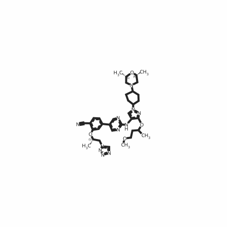 COCCC(C)Oc1nn(C2CCC(N3C[C@@H](C)O[C@@H](C)C3)CC2)cc1Nc1ncc(-c2ccc(C#N)c(O[C@@H](C)Cn3cnnn3)c2)cn1